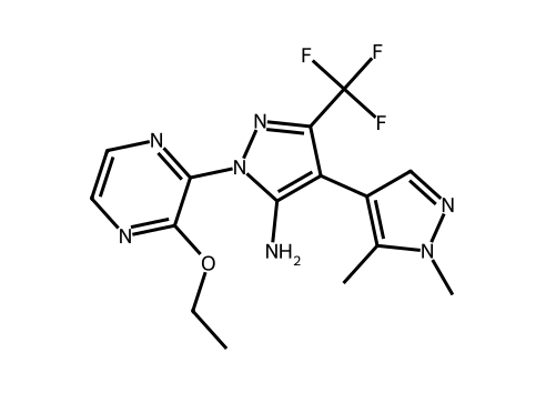 CCOc1nccnc1-n1nc(C(F)(F)F)c(-c2cnn(C)c2C)c1N